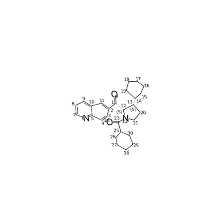 O=C(c1ccc2ncccc2c1)[C@@H]1[C@H](C2CCCCC2)CCN1C(=O)C1CC[CH]CC1